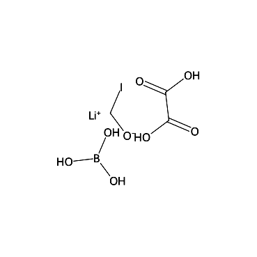 O=C(O)C(=O)O.OB(O)O.[Li+].[O-]CI